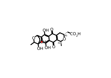 CC1OC2CC(O)C1(O)c1c(O)c3c(c(O)c12)C(=O)C1=C(C3=O)[C@H](C)O[C@@H](CC(=O)O)C1